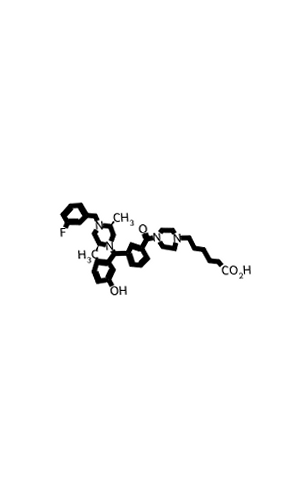 C[C@@H]1CN(C(c2cccc(O)c2)c2cccc(C(=O)N3CCN(CCCCCC(=O)O)CC3)c2)[C@H](C)CN1Cc1cccc(F)c1